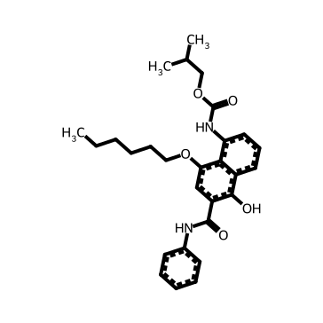 CCCCCCOc1cc(C(=O)Nc2ccccc2)c(O)c2cccc(NC(=O)OCC(C)C)c12